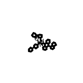 c1ccc(-c2ccc(-c3nc(-c4c5ccccc5c(-c5cccc6ccccc56)c5ccccc45)nc(-c4cccc5c4oc4ccccc45)n3)cc2)cc1